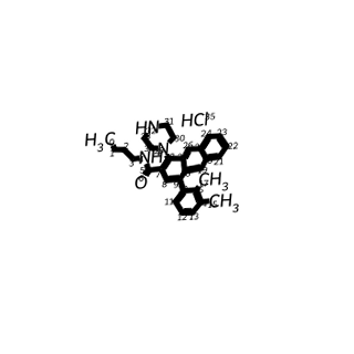 CCCCNC(=O)c1cc(-c2cccc(C)c2C)c2cc3ccccc3cc2c1N1CCNCC1.Cl